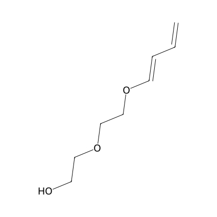 C=CC=COCCOCCO